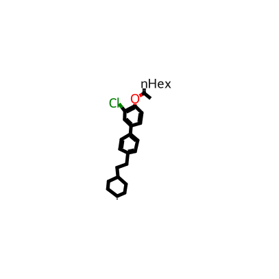 CCCCCCC(C)Oc1ccc(-c2ccc(CCC3CC[CH]CC3)cc2)cc1Cl